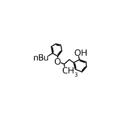 CCCCc1ccccc1OC(C)Cc1ccccc1O